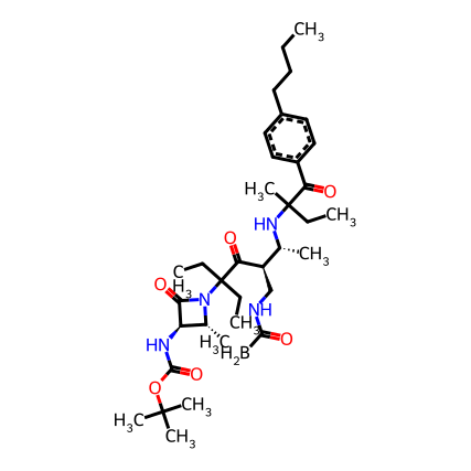 BC(=O)NC[C@@H](C(=O)C(CC)(CC)N1C(=O)[C@H](NC(=O)OC(C)(C)C)[C@H]1C)[C@@H](C)NC(C)(CC)C(=O)c1ccc(CCCC)cc1